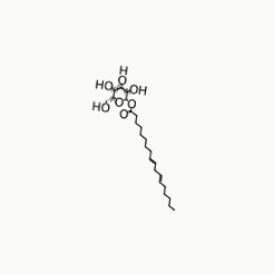 CCCCCC=CCC=CCCCCCCCC(=O)OC1O[C@H](CO)[C@@H](O)[C@H](O)[C@H]1O